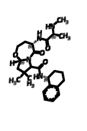 CN[C@@H](C)C(=O)N[C@H]1CCO[C@H]2CC(C)(C)C(C(=O)N[C@@H]3CCCc4ccccc43)N2C1=O